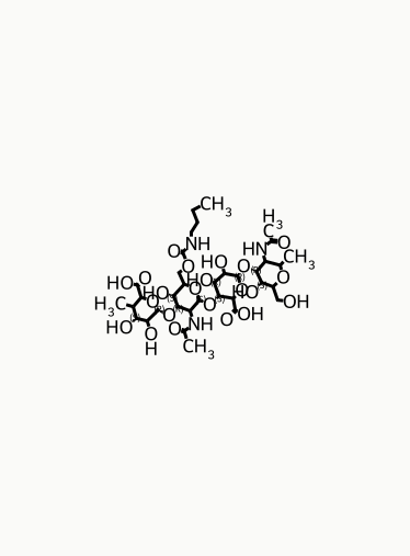 CCCCNC(=O)OCC1O[C@@H](O[C@@H]2C(C(=O)O)O[C@@H](O[C@@H]3C(NC(C)=O)C(C)OC(CO)[C@H]3O)C(O)[C@H]2O)C(NC(C)=O)[C@@H](O[C@@H]2OC(C(=O)O)C(C)[C@H](O)C2O)[C@@H]1O